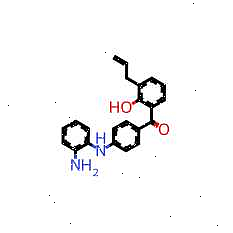 C=CCc1cccc(C(=O)c2ccc(Nc3ccccc3N)cc2)c1O